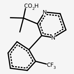 CC(C)(C(=O)O)c1nccnc1-c1ccccc1C(F)(F)F